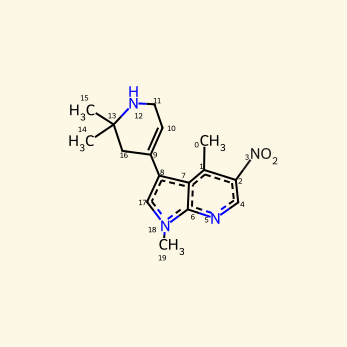 Cc1c([N+](=O)[O-])cnc2c1c(C1=CCNC(C)(C)C1)cn2C